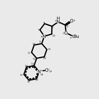 CC(C)(C)OC(=O)NC1CCN(C2CCC(c3cccc[n+]3[O-])CC2)C1